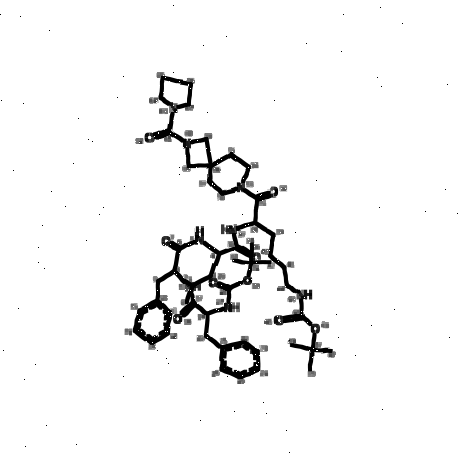 CC(C)CC(NC(=O)C(Cc1ccccc1)NC(=O)C(Cc1ccccc1)NC(=O)OC(C)(C)C)C(=O)NC(CCCCNC(=O)OC(C)(C)C)C(=O)N1CCC2(CC1)CN(C(=O)N1CCCC1)C2